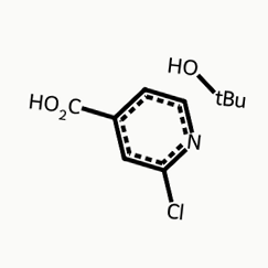 CC(C)(C)O.O=C(O)c1ccnc(Cl)c1